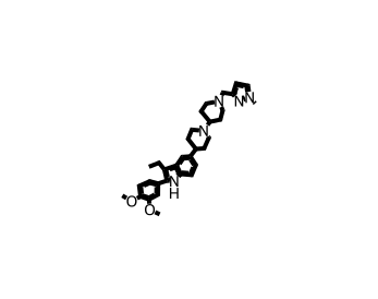 CCc1c(-c2ccc(OC)c(OC)c2)[nH]c2ccc(C3CCN(C4CCN(Cc5ccn(C)n5)CC4)CC3)cc12